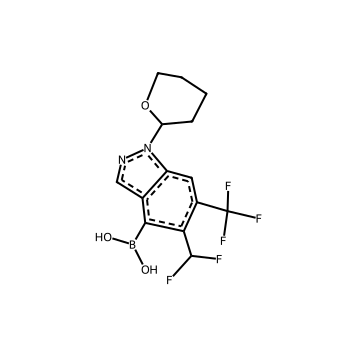 OB(O)c1c(C(F)F)c(C(F)(F)F)cc2c1cnn2C1CCCCO1